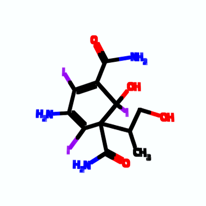 CC(CO)C1(C(N)=O)C(I)=C(N)C(I)=C(C(N)=O)C1(O)I